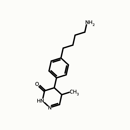 CC1C=NNC(=O)C1c1ccc(CCCCN)cc1